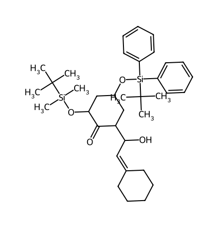 CC(C)(C)[Si](C)(C)OC1CC(O[Si](c2ccccc2)(c2ccccc2)C(C)(C)C)CC(C(O)C=C2CCCCC2)C1=O